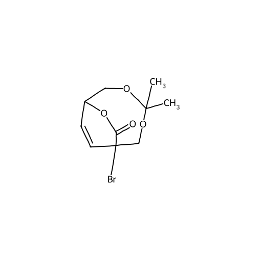 CC1(C)OCC2C=CC(Br)(CO1)C(=O)O2